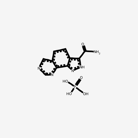 NC(=O)c1[nH]nc2c1ccc1cncnc12.O=P(O)(O)O